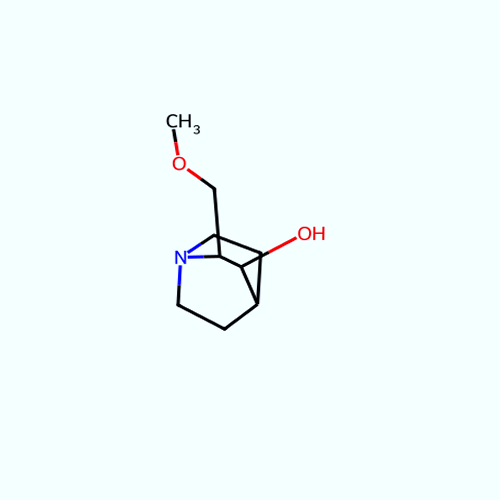 COCC1C(O)C2CCN1CC2